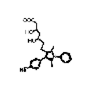 Cc1c(CCC(O)CC(O)CC(=O)[O-])c(-c2ccc(F)cc2)c(C)n1-c1ccccc1.[Na+]